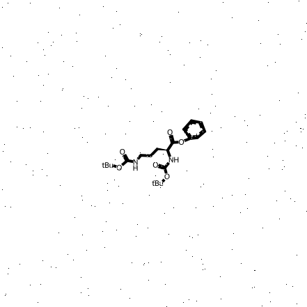 CC(C)(C)OC(=O)NCCC[C@H](NC(=O)OC(C)(C)C)C(=O)Oc1ccccc1